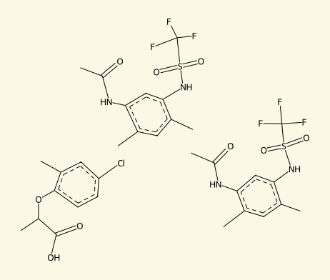 CC(=O)Nc1cc(NS(=O)(=O)C(F)(F)F)c(C)cc1C.CC(=O)Nc1cc(NS(=O)(=O)C(F)(F)F)c(C)cc1C.Cc1cc(Cl)ccc1OC(C)C(=O)O